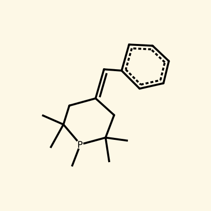 CP1C(C)(C)CC(=Cc2ccccc2)CC1(C)C